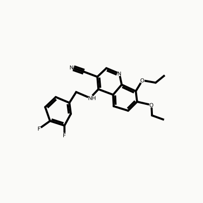 CCOc1ccc2c(NCc3ccc(F)c(F)c3)c(C#N)cnc2c1OCC